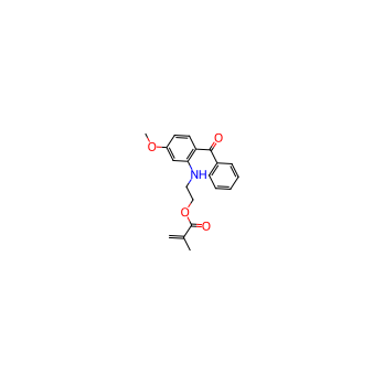 C=C(C)C(=O)OCCNc1cc(OC)ccc1C(=O)c1ccccc1